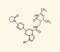 CC1=CC(C)C(CNC(=O)c2cc(-c3ccc(N4CCCC4=O)nc3)cc3c2ccn3C(C)C)C(=O)N1